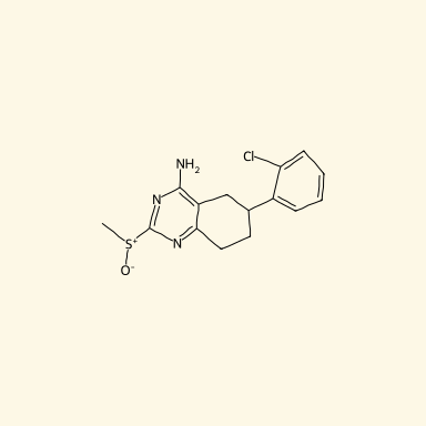 C[S+]([O-])c1nc(N)c2c(n1)CCC(c1ccccc1Cl)C2